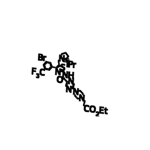 CCOC(=O)CCN1CCN(c2cnc(C(=O)Nc3nc(-c4cc(Br)cc(C(F)(F)F)c4)c(CN4CCC[C@H]4C(C)C)s3)cn2)CC1